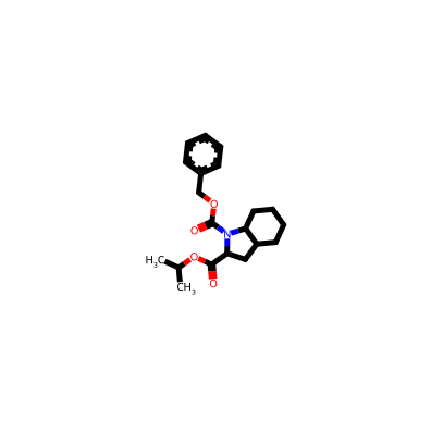 CC(C)OC(=O)C1CC2CCCCC2N1C(=O)OCc1ccccc1